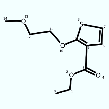 CCOC(=O)c1ccsc1OCCOC